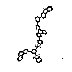 c1cc(-c2ccc3c(c2)sc2ccccc23)cc(-c2ccc3c4ccc(-c5ccc6nc(-c7cc(-c8ccc9ccc%10ccccc%10c9c8)cc(-c8nc9ccccc9o8)c7)oc6c5)cc4c4ccccc4c3c2)c1